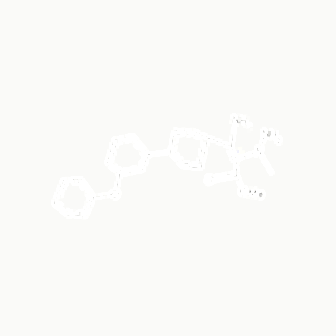 COC(=O)/C(=C(/N)c1ccc(-c2cccc(Oc3ccccc3)c2)cc1)N(C)N